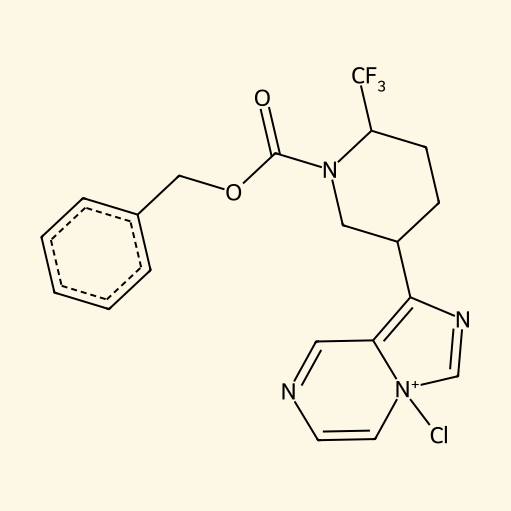 O=C(OCc1ccccc1)N1CC(C2=C3C=NC=C[N+]3(Cl)C=N2)CCC1C(F)(F)F